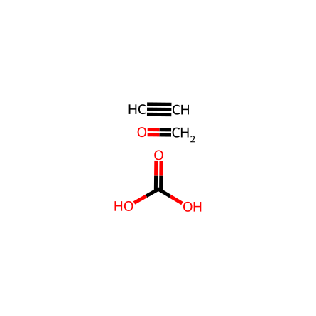 C#C.C=O.O=C(O)O